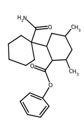 CC1CC(C)C(C(=O)Oc2ccccc2)C(C2(C(N)=O)CCCCC2)C1